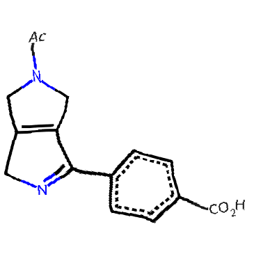 CC(=O)N1CC2=C(C1)C(c1ccc(C(=O)O)cc1)=NC2